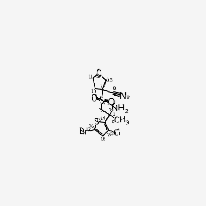 CC(N)(CS(=O)(=O)C1(C#N)CCOC1)c1sc(Br)cc1Cl